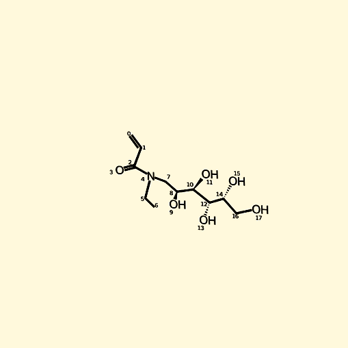 C=CC(=O)N(CC)C[C@H](O)[C@@H](O)[C@@H](O)[C@H](O)CO